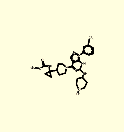 CC(C)(C)OC(=O)NC1(C2CCN(C3=NC(NC4CC[S+]([O-])CC4)Nc4c3cnn4-c3cccc(C(F)(F)F)c3)CC2)CC1